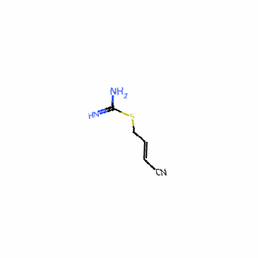 N#C/C=C/CSC(=N)N